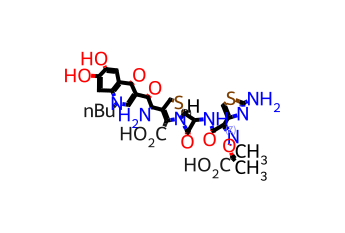 CCCCn1cc(C(=O)C(N)C2=C(C(=O)O)N3C(=O)C(NC(=O)/C(=N\OC(C)(C)C(=O)O)c4csc(N)n4)[C@H]3SC2)c(=O)c2cc(O)c(O)cc21